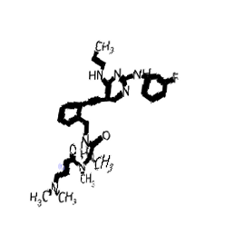 CCCNc1nc(Nc2cccc(F)c2)ncc1C#Cc1ccccc1CNC(=O)[C@H](C)N(C)C(=O)/C=C/CN(C)C